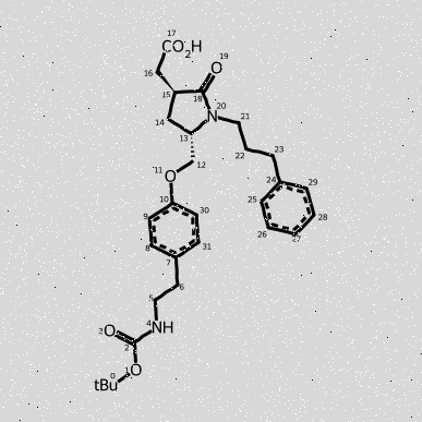 CC(C)(C)OC(=O)NCCc1ccc(OC[C@@H]2C[C@@H](CC(=O)O)C(=O)N2CCCc2ccccc2)cc1